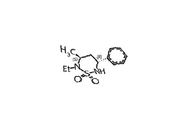 CCN1[C@@H](C)C[C@H](c2ccccc2)NS1(=O)=O